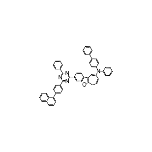 C1=CC(N(c2ccccc2)c2ccc(-c3ccccc3)cc2)=Cc2c(oc3cc(-c4nc(-c5ccccc5)nc(-c5ccc(-c6cccc7ccccc67)cc5)n4)ccc23)C1